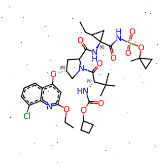 CCOc1cc(O[C@@H]2CC(C(=O)N[C@]3(C(=O)NS(=O)(=O)OC4(C)CC4)CC3CC)N(C(=O)[C@@H](NC(=O)OC3CCC3)C(C)(C)C)C2)c2cccc(Cl)c2n1